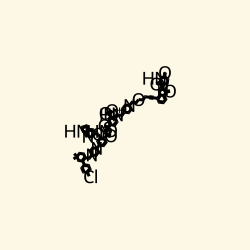 CC1(C)CCC(CN2CCN(c3ccc(C(=O)NS(=O)(=O)c4ccc(NCC5CCN(CCOCCC#Cc6cccc7c6CN(C6CCC(=O)NC6=O)C7=O)CC5)c([N+](=O)[O-])c4)c(Oc4cnc5[nH]ccc5c4)c3)CC2)=C(c2ccc(Cl)cc2)C1